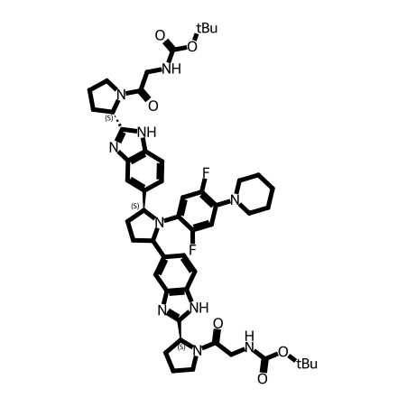 CC(C)(C)OC(=O)NCC(=O)N1CCC[C@H]1c1nc2cc(C3CC[C@@H](c4ccc5[nH]c([C@@H]6CCCN6C(=O)CNC(=O)OC(C)(C)C)nc5c4)N3c3cc(F)c(N4CCCCC4)cc3F)ccc2[nH]1